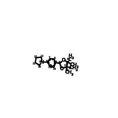 CC1(C)OC(c2ccc(N3CCCC3)nc2)OC1(C)C